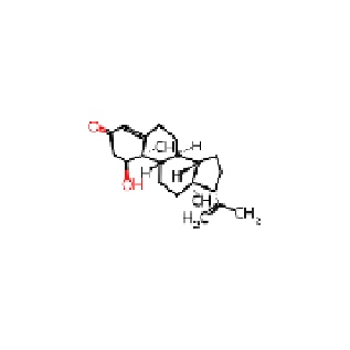 C=C(C)[C@H]1CC[C@H]2[C@@H]3CCC4=CC(=O)CC(O)[C@]4(C)[C@H]3CC[C@]12C